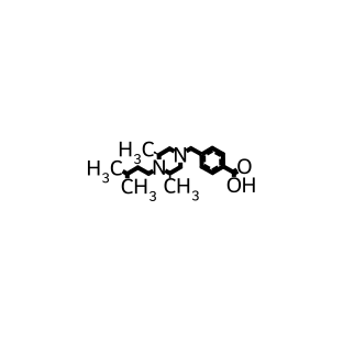 CC(C)CCN1[C@H](C)CN(Cc2ccc(C(=O)O)cc2)C[C@@H]1C